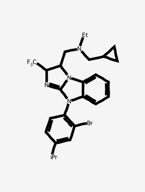 CCN(CC1CC1)CC1C(C(F)(F)F)N=C2N(c3ccc(C(C)C)cc3Br)c3ccccc3N21